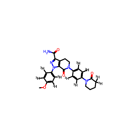 [2H]c1c([2H])c(-n2nc(C(N)=O)c3c2C(=O)N(c2c([2H])c([2H])c(N4CCCC([2H])([2H])C4=O)c([2H])c2[2H])CC3)c([2H])c([2H])c1OC